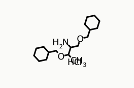 CC(OCC1CCCCC1)C(N)COCC1CCCCC1.Cl